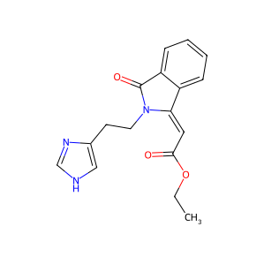 CCOC(=O)C=C1c2ccccc2C(=O)N1CCc1c[nH]cn1